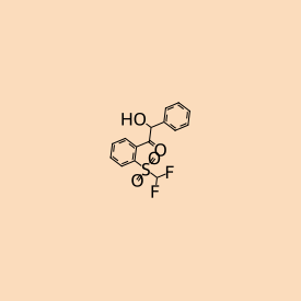 O=C(c1ccccc1S(=O)(=O)C(F)F)C(O)c1ccccc1